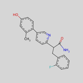 Cc1cc(O)ccc1-c1ccc(C(Cc2ccccc2F)C(N)=O)nc1